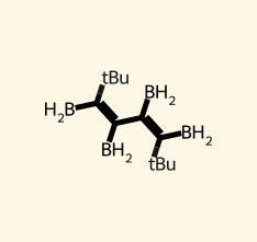 BC(/C(B)=C(/B)C(C)(C)C)=C(\B)C(C)(C)C